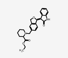 CCOC(=O)C1CCCCN1Cc1ccc2c(c1)COC2=C1C(=O)Nc2ccccc21